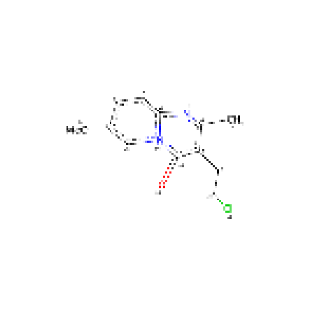 COc1ccc2nc(C)c(CCCl)c(=O)n2c1